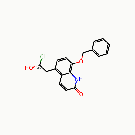 O=c1ccc2c(C[C@H](O)Cl)ccc(OCc3ccccc3)c2[nH]1